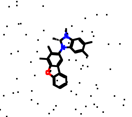 Cc1cc2c(cc1C)N(c1cc3c(oc4ccccc43)c(C)c1C)[C@H](C)N2C